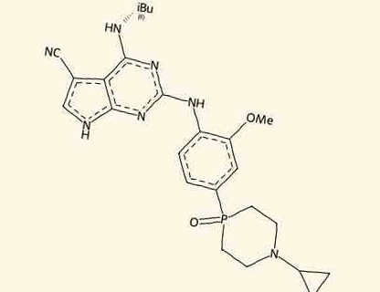 CC[C@@H](C)Nc1nc(Nc2ccc(P3(=O)CCN(C4CC4)CC3)cc2OC)nc2[nH]cc(C#N)c12